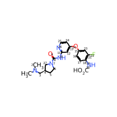 CN(C)C[C@@H]1CCN(C(=O)Nc2cc(Oc3ccc(NC(=O)O)c(F)c3)ccn2)C1